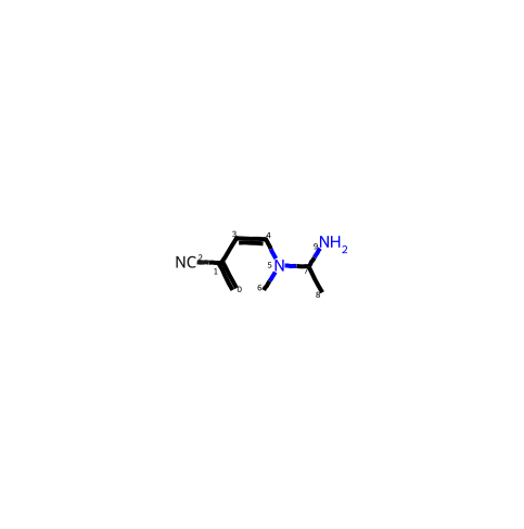 C=C(C#N)/C=C\N(C)C(C)N